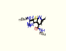 CCCCNC(=O)c1cc(C)nc2sc3c(NCCCC)nnnc3c12